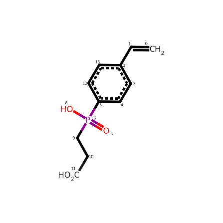 C=Cc1ccc(P(=O)(O)CCC(=O)O)cc1